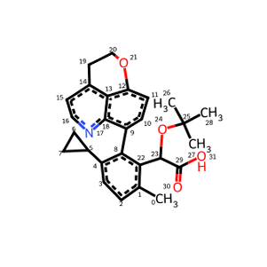 Cc1ccc(C2CC2)c(-c2ccc3c4c(ccnc24)CCO3)c1C(OC(C)(C)C)C(=O)O